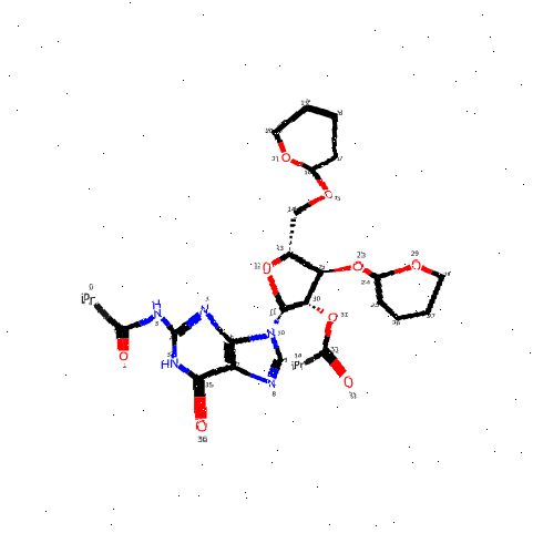 CC(C)C(=O)Nc1nc2c(ncn2[C@@H]2O[C@H](COC3CCCCO3)[C@@H](OC3CCCCO3)[C@@H]2OC(=O)C(C)C)c(=O)[nH]1